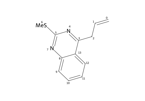 C=CCc1nc(SC)nc2ccccc12